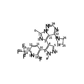 Cc1nc(-c2cnn(C)c2-c2ccc(C(F)(F)F)nc2F)c2c(N3CCC3)ncnn12